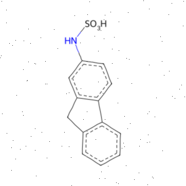 O=S(=O)(O)Nc1ccc2c(c1)Cc1ccccc1-2